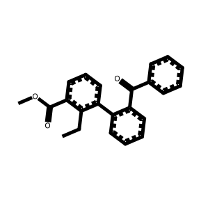 CCc1c(C(=O)OC)cccc1-c1ccccc1C(=O)c1ccccc1